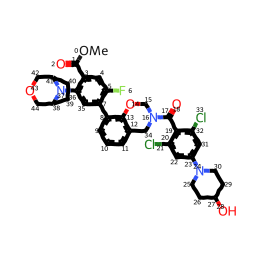 COC(=O)c1cc(F)c(-c2cccc3c2OCN(C(=O)c2c(Cl)cc(N4CCC(O)CC4)cc2Cl)C3)cc1N1C2CCC1COC2